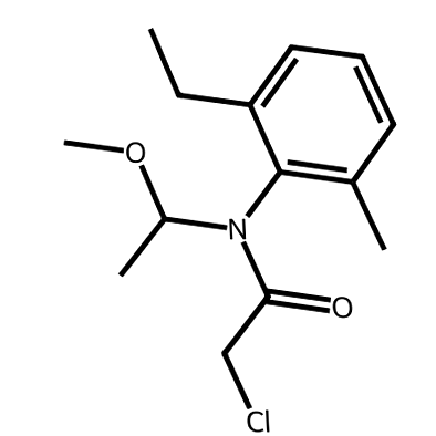 CCc1cccc(C)c1N(C(=O)CCl)C(C)OC